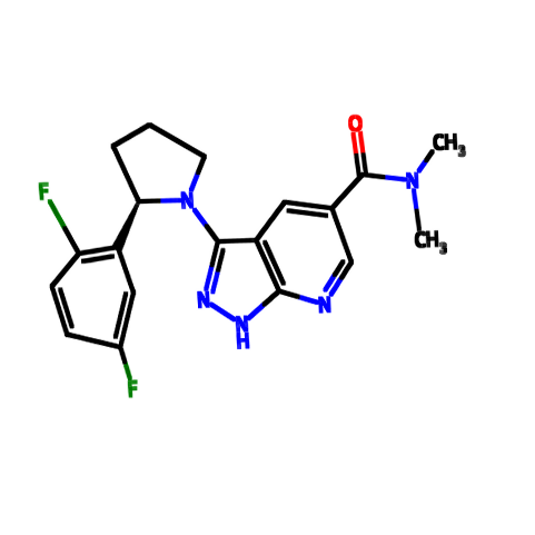 CN(C)C(=O)c1cnc2[nH]nc(N3CCC[C@@H]3c3cc(F)ccc3F)c2c1